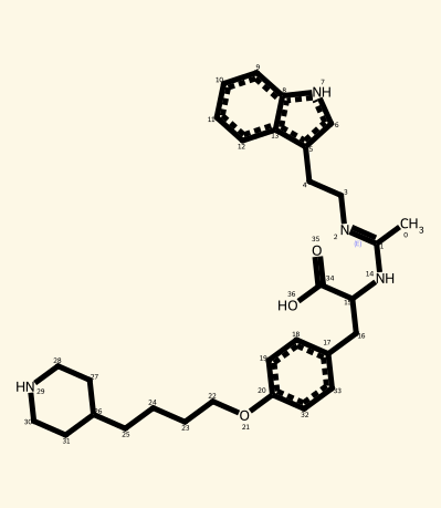 C/C(=N\CCc1c[nH]c2ccccc12)NC(Cc1ccc(OCCCCC2CCNCC2)cc1)C(=O)O